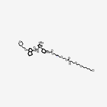 CCCCc1cc(NC(=O)Nc2ccc(OCCN3CCOCC3)c3ccccc23)n(-c2cccc(CNC(=O)OC/C=C/COCCOC(=O)NCCOCCOCCCCCCCl)c2)n1